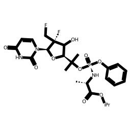 CC(C)OC(=O)[C@H](C)N[P@](=O)(Oc1ccccc1)OC(C)(C)[C@H]1O[C@@H](n2ccc(=O)[nH]c2=O)[C@@](F)(CF)C1O